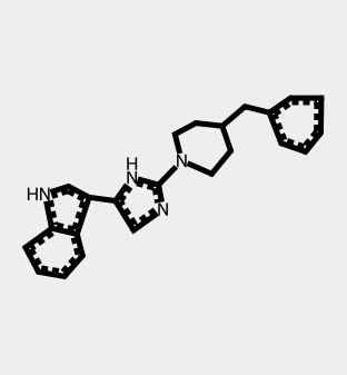 c1ccc(CC2CCN(c3ncc(-c4c[nH]c5ccccc45)[nH]3)CC2)cc1